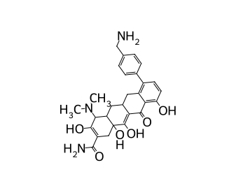 CN(C)C1C(O)=C(C(N)=O)CC2(O)C(O)=C3C(=O)c4c(O)ccc(-c5ccc(CN)cc5)c4CC3CC12